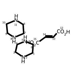 C1CNCCN1.C1CNCCN1.O=C(O)C=CC(=O)O